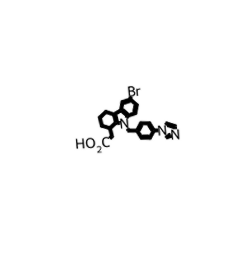 O=C(O)CC1CCCc2c1n(Cc1ccc(-n3ccnc3)cc1)c1ccc(Br)cc21